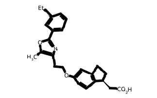 CCc1cccc(-c2nc(CCOc3ccc4c(c3)CC[C@H]4CC(=O)O)c(C)o2)c1